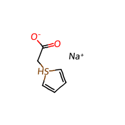 O=C([O-])C[SH]1C=CC=C1.[Na+]